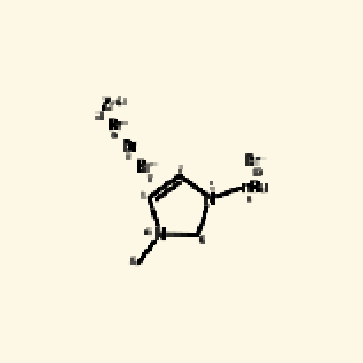 CCCCN1C=CN(C)C1.[Br-].[Br-].[Br-].[Br-].[Zr+4]